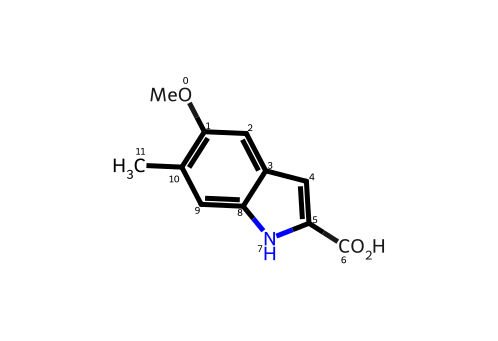 COc1cc2cc(C(=O)O)[nH]c2cc1C